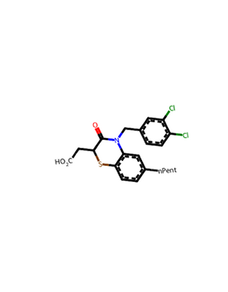 CCCCCc1ccc2c(c1)N(Cc1ccc(Cl)c(Cl)c1)C(=O)C(CC(=O)O)S2